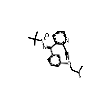 CC(C)COc1cccc(C(=N[S+]([O-])C(C)(C)C)c2cccnc2C#N)c1